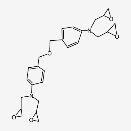 c1cc(N(CC2CO2)CC2CO2)ccc1COCc1ccc(N(CC2CO2)CC2CO2)cc1